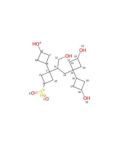 O=[SH](=O)C1CC(C2CC(O)C2)(C(CO)CC2(C3CC(O)C3)CC(O)C2)C1